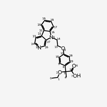 CCOC(C)(C(=O)O)c1ccc(OCCn2c3ccccc3c3ccncc32)cc1